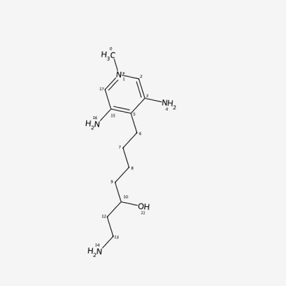 C[n+]1cc(N)c(CCCCC(O)CCN)c(N)c1